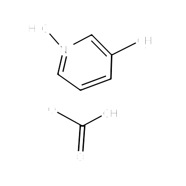 CC(=O)[O-].Cc1ccc[n+](C)c1